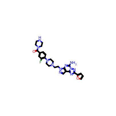 Nc1nc2c(cnn2CCN2CCN(c3ccc(C(=O)N4CCNCC4)cc3F)CC2)c2nc(-c3ccco3)nn12